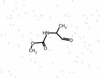 COC(=O)NC(C)[C]=O